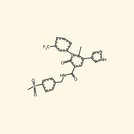 Cc1c(-c2cn[nH]c2)cc(C(=O)NCc2ccc(S(C)(=O)=O)cc2)c(=O)n1-c1cccc(C(F)(F)F)c1